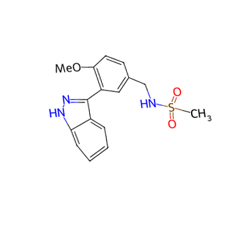 COc1ccc(CNS(C)(=O)=O)cc1-c1n[nH]c2ccccc12